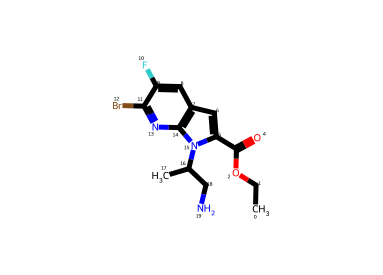 CCOC(=O)c1cc2cc(F)c(Br)nc2n1C(C)CN